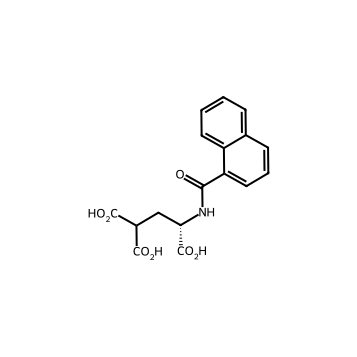 O=C(N[C@@H](CC(C(=O)O)C(=O)O)C(=O)O)c1cccc2ccccc12